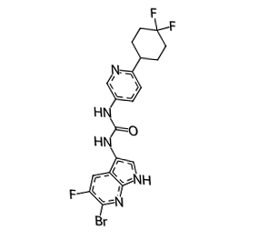 O=C(Nc1ccc(C2CCC(F)(F)CC2)nc1)Nc1c[nH]c2nc(Br)c(F)cc12